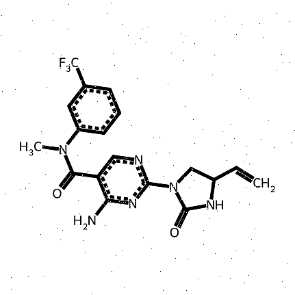 C=CC1CN(c2ncc(C(=O)N(C)c3cccc(C(F)(F)F)c3)c(N)n2)C(=O)N1